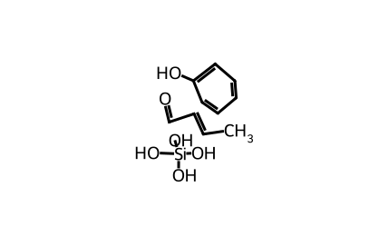 CC=CC=O.O[Si](O)(O)O.Oc1ccccc1